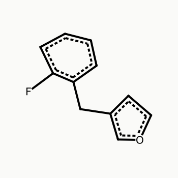 Fc1ccccc1Cc1ccoc1